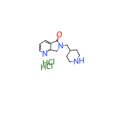 Cl.Cl.O=C1c2cccnc2CN1CC1CCNCC1